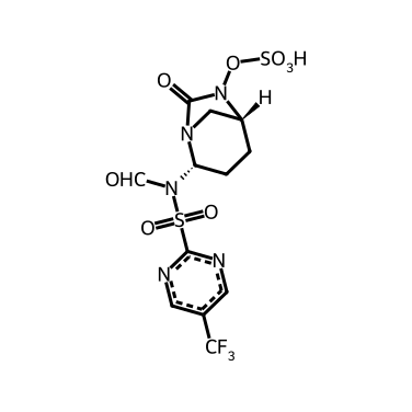 O=CN([C@H]1CC[C@@H]2CN1C(=O)N2OS(=O)(=O)O)S(=O)(=O)c1ncc(C(F)(F)F)cn1